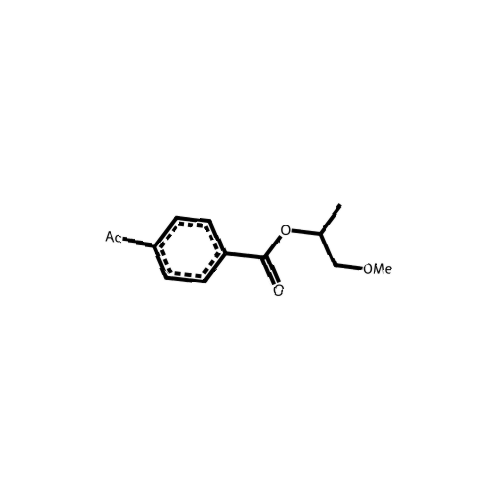 COCC(C)OC(=O)c1ccc(C(C)=O)cc1